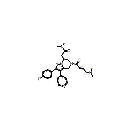 CN(C)C/C=C/C(=O)N1Cc2c(-c3ccncc3)c(-c3ccc(F)cc3)nn2C(CC(=O)N(C)C)C1